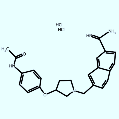 CC(=O)Nc1ccc(OC2CCN(Cc3ccc4ccc(C(=N)N)cc4c3)C2)cc1.Cl.Cl